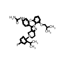 Cc1cccc(OCC(C)C)c1-n1nc2c(c1-c1ccc(NC(N)=O)cc1)CN(c1ccc(F)cc1C(C)C)CC2